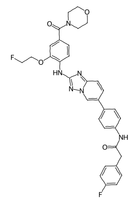 O=C(Cc1ccc(F)cc1)Nc1ccc(-c2ccc3nc(Nc4ccc(C(=O)N5CCOCC5)cc4OCCF)nn3c2)cc1